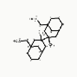 CC1(C2(C)CC3CCCC(CC(=O)O)(C3)C2)CC2CCCC(CC(=O)O)(C2)C1